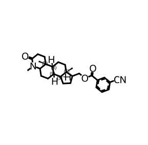 CN1C(=O)CC[C@@]2(C)C1CC[C@@H]1[C@H]2CC[C@]2(C)C(COC(=O)c3cccc(C#N)c3)CC[C@@H]12